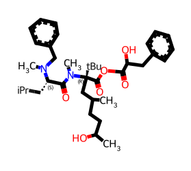 CC(C)C[C@@H](C(=O)N(C)[C@@](CC(C)CCC(C)O)(C(=O)OC(=O)C(O)Cc1ccccc1)C(C)(C)C)N(C)Cc1ccccc1